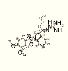 CCCCC(=NNC(=N)N)c1cn(S(=O)(=O)c2ccc(OC)c(OC)c2)c2ccccc12